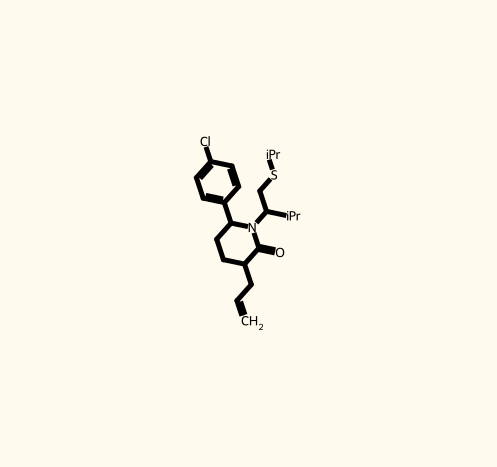 C=CCC1CCC(c2ccc(Cl)cc2)N(C(CSC(C)C)C(C)C)C1=O